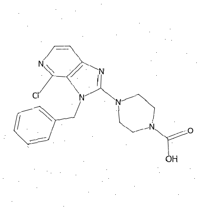 O=C(O)N1CCN(c2nc3ccnc(Cl)c3n2Cc2ccccc2)CC1